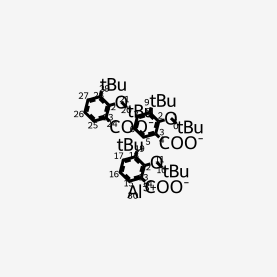 CC(C)(C)Oc1c(C(=O)[O-])cccc1C(C)(C)C.CC(C)(C)Oc1c(C(=O)[O-])cccc1C(C)(C)C.CC(C)(C)Oc1c(C(=O)[O-])cccc1C(C)(C)C.[Al+3]